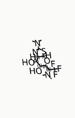 CN(C)C1=N[C@@H]2[C@@H](O)[C@H](O)[C@@H]([C@@H](N(C)C)C(F)(F)F)O[C@@H]2S1